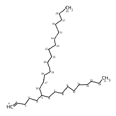 [CH]=CCCCC(CCCCCCCCCC)CCCCCCCCCCCCCC